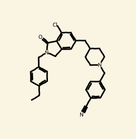 CCc1ccc(CN2Cc3cc(CC4CCN(Cc5ccc(C#N)cc5)CC4)cc(Cl)c3C2=O)cc1